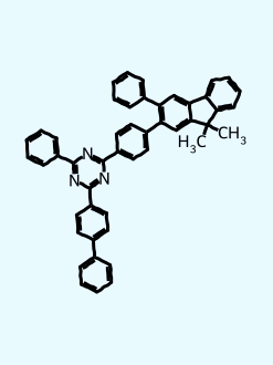 CC1(C)c2ccccc2-c2cc(-c3ccccc3)c(-c3ccc(-c4nc(-c5ccccc5)nc(-c5ccc(-c6ccccc6)cc5)n4)cc3)cc21